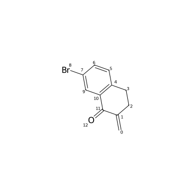 C=C1CCc2ccc(Br)cc2C1=O